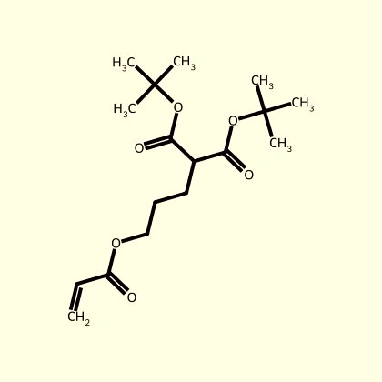 C=CC(=O)OCCCC(C(=O)OC(C)(C)C)C(=O)OC(C)(C)C